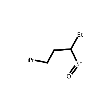 [CH2]CC(CCC(C)C)[S+]=O